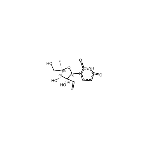 C=C[C@]1(O)[C@H](n2ccc(=O)[nH]c2=O)O[C@](F)(CO)[C@H]1O